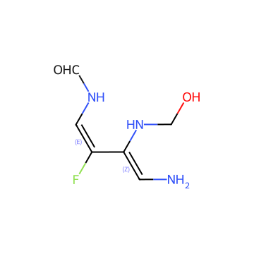 N/C=C(NCO)/C(F)=C\NC=O